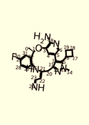 C[C@H]1Oc2cc(cnc2N)-c2c(nn(C)c2C2CCC2)C/C(=C/C=N)Nc2ccc(F)cc21